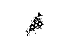 Cc1cc(C(O)(C(F)(F)F)C(F)(F)F)ccc1C(C(N)=O)c1ccccc1S(=O)(=O)NC1CC1